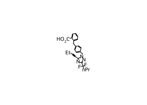 CCC#Cc1nc(C(F)(F)CCC)nn1Cc1ccc(Cc2ccccc2C(=O)O)cc1